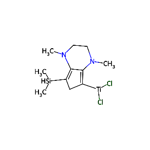 CN1CCN(C)C2=[C]([Ti]([Cl])[Cl])CC([SiH](C)C)=C21